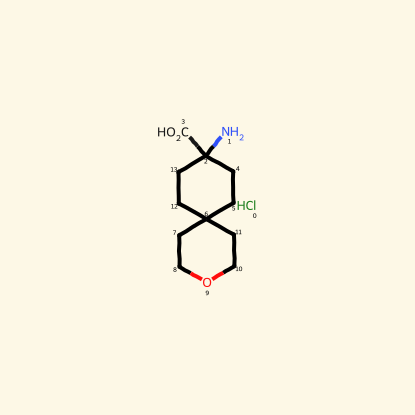 Cl.NC1(C(=O)O)CCC2(CCOCC2)CC1